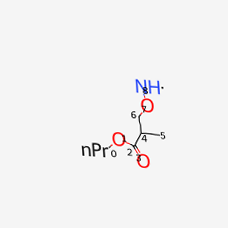 CCCOC(=O)C(C)CO[NH]